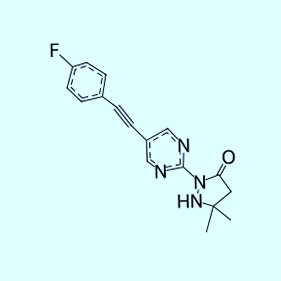 CC1(C)CC(=O)N(c2ncc(C#Cc3ccc(F)cc3)cn2)N1